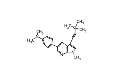 CN(C)c1ccc(-c2cnc3c(c2)c(C#C[Si](C)(C)C)cn3C)cc1